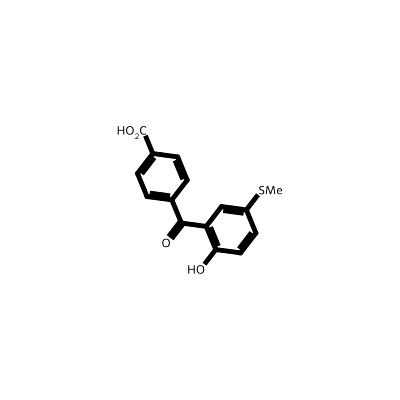 CSc1ccc(O)c(C(=O)c2ccc(C(=O)O)cc2)c1